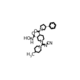 CC1CCN(C(=NC#N)N2CC[C@H](C(=O)N3CC[C@H](c4ccccc4)C3)[C@@H](C(=O)NO)C2)CC1